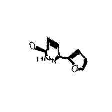 O=c1ccc(-c2ccco2)n[nH]1